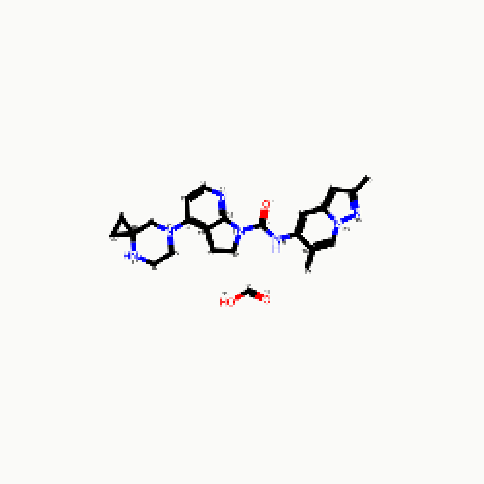 Cc1cc2cc(NC(=O)N3CCc4c(N5CCNC6(CC6)C5)ccnc43)c(C)cn2n1.O=CO